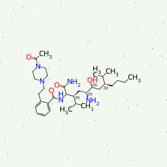 CCCC[C@@H](C[C@H](O)[C@@H](N)C[C@@H](C(C)C)C(NC(=O)c1ccccc1CCN1CCN(C(C)=O)CC1)C(N)=O)C(C)C